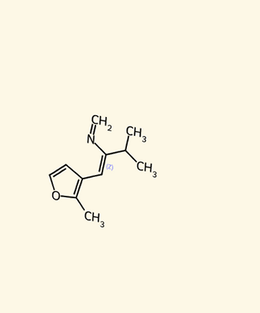 C=N/C(=C\c1ccoc1C)C(C)C